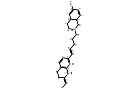 C/C=C1\CCc2ccc(/C=C/CCCN3CCC4C=C(F)C=CC4C3)nc2N1